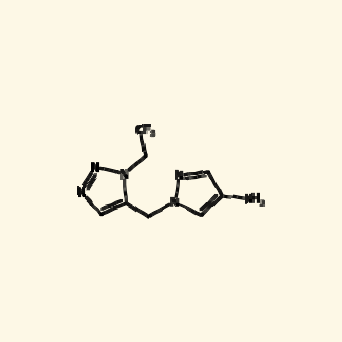 Nc1cnn(Cc2cnnn2CC(F)(F)F)c1